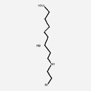 Br.CCCCCCCCCCCCCCCCNCCBr